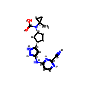 CC1(N(C(=O)O)[C@@H]2CC[C@H](c3cc(Nc4ccnc(C#N)n4)n[nH]3)C2)CC1